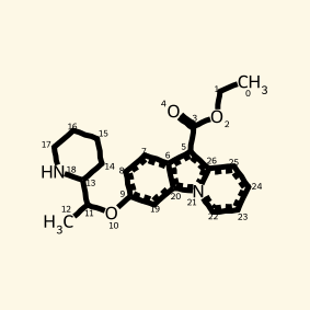 CCOC(=O)c1c2ccc(OC(C)C3CCCCN3)cc2n2ccccc12